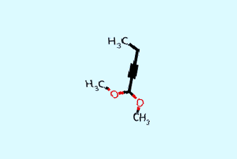 CCC#CC(OC)OC